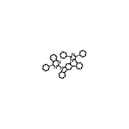 c1ccc(-c2nc(-n3c4ccccc4c4cc5c6ccccc6c6c(-c7ccccc7)nc(-c7ccccc7)n6c5cc43)nc3ccccc23)cc1